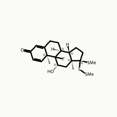 CSS[C@@]1(SC)CC[C@H]2[C@@H]3CCC4=CC(=O)C=C[C@]4(C)C3(F)[C@@H](O)C[C@@]21C